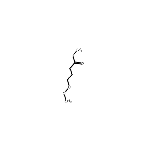 COOCCCC(=O)OC